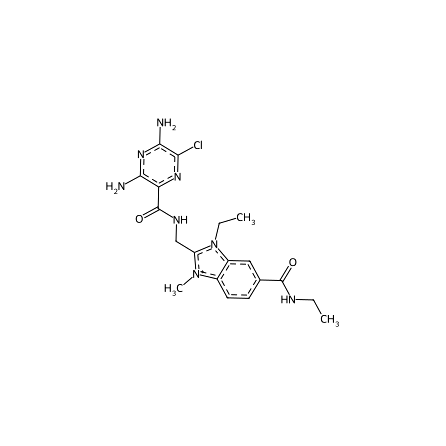 CCNC(=O)c1ccc2c(c1)n(CC)c(CNC(=O)c1nc(Cl)c(N)nc1N)[n+]2C